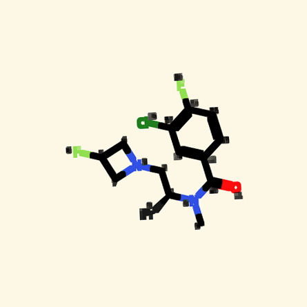 CC(C)[C@@H](CN1CC(F)C1)N(C)C(=O)c1ccc(F)c(Cl)c1